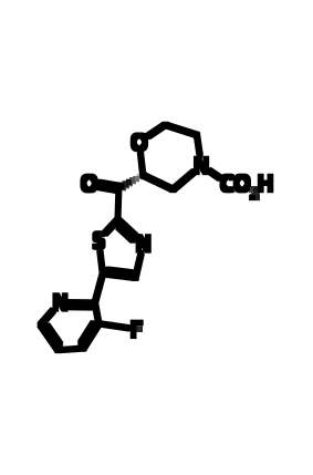 O=C(c1ncc(-c2ncccc2F)s1)[C@H]1CN(C(=O)O)CCO1